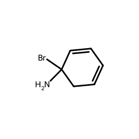 NC1(Br)C=CC=CC1